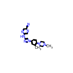 Cc1cc(-n2cnc(Nc3cnc(C#N)cn3)c2)ccc1N1CCN(C)CC1